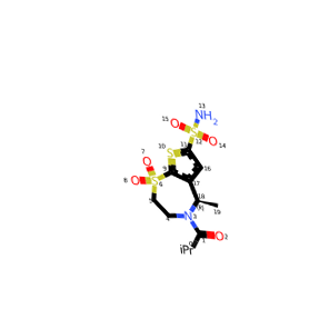 CC(C)C(=O)N1CCS(=O)(=O)c2sc(S(N)(=O)=O)cc2[C@H]1C